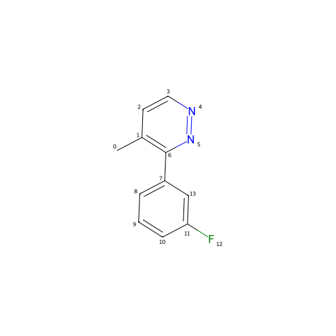 Cc1ccnnc1-c1cccc(F)c1